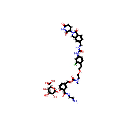 CN(CCOCCc1ccc(NC(=O)NCc2ccc3c(c2)CN(C2CCC(=O)NC2=O)C3=O)cc1Cl)C(=O)OCc1ccc(O[C@@H]2O[C@H](C(=O)O)[C@@H](O)[C@H](O)[C@H]2O)c(C(=O)NCCN)c1